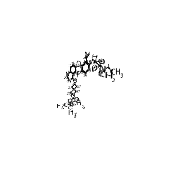 CCN(C)S(=O)(=O)Nc1ccc(F)c(Oc2ccc3ncnc(OC4CC5(C4)CN(C(=O)OC(C)(C)C)C5)c3c2)c1C#N